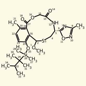 COC1SC[C@@H](c2nc(C)no2)NC(=O)COC(=O)c2c(C)ccc(O[Si](C)(C)C(C)(C)C(C)C)c21